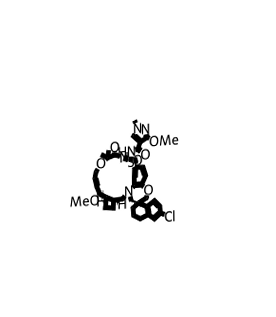 COc1nn(C)cc1C(=O)NS1(=O)=NC(=O)C(C)(C)OCC=C[C@H](OC)[C@@H]2CC[C@H]2CN2C[C@@]3(CCCc4cc(Cl)ccc43)COc3ccc1cc32